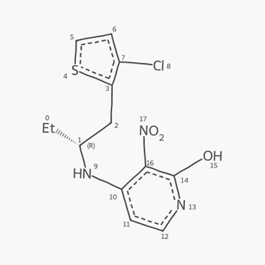 CC[C@H](Cc1sccc1Cl)Nc1ccnc(O)c1[N+](=O)[O-]